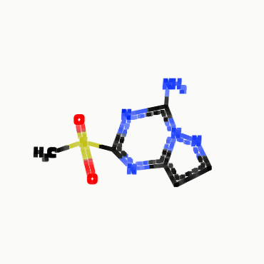 CS(=O)(=O)c1nc(N)n2nccc2n1